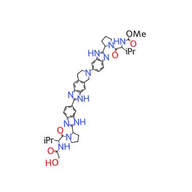 COC(=O)NC(C(=O)N1CCCC1c1nc2ccc(N3CCc4cc5nc(-c6ccc7nc(C8CCCN8C(=O)C(NC(=O)CO)C(C)C)[nH]c7c6)[nH]c5cc4C3)cc2[nH]1)C(C)C